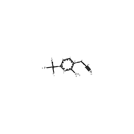 Cc1nc(C(F)(F)F)ccc1CC#N